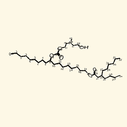 CCCCCCCCCC(CCCCCCCCOC(=O)CC(CCCC)CCCCCC)OC(=O)OCCN(C)CCO